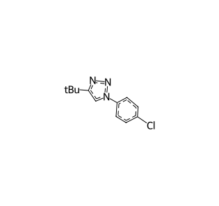 CC(C)(C)c1cn(-c2ccc(Cl)cc2)nn1